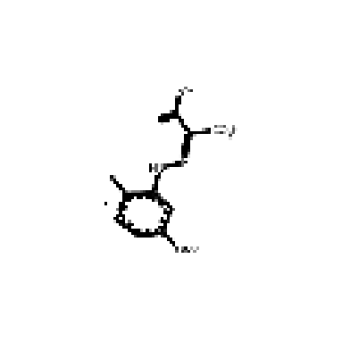 CCCC(=O)C(=NNc1cc(OC)ccc1Cl)C(=O)O